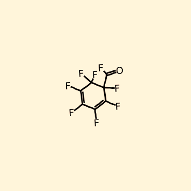 O=C(F)C1(F)C(F)=C(F)C(F)=C(F)C1(F)F